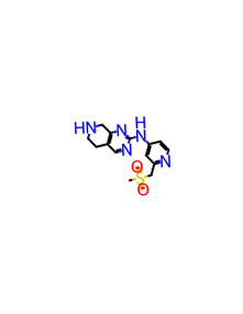 CS(=O)(=O)Cc1cc(Nc2ncc3c(n2)CNCC3)ccn1